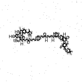 Cc1ncsc1-c1ccc([C@H](C)NC(=O)[C@@H]2C[C@@H](O)CN2C(=O)[C@@H](NC(=O)CCC(=O)NCCCN2CCN(CCC(=O)NCCCNc3cc(N4CCC5(CC4)CN(c4cc(F)c(CN6CCC(C)(C)CC6)cc4F)CC(=O)N5)ncn3)CC2)C(C)(C)C)cc1